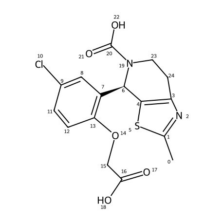 Cc1nc2c(s1)[C@@H](c1cc(Cl)ccc1OCC(=O)O)N(C(=O)O)CC2